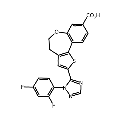 O=C(O)c1ccc2c(c1)OCCc1cc(-c3ncnn3-c3ccc(F)cc3F)sc1-2